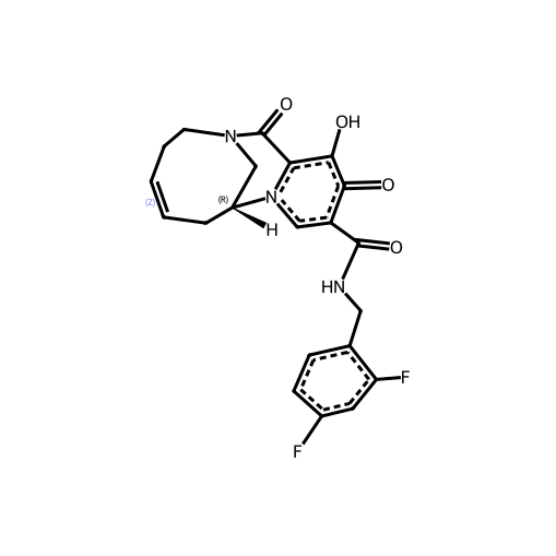 O=C(NCc1ccc(F)cc1F)c1cn2c(c(O)c1=O)C(=O)N1CC/C=C\C[C@@H]2C1